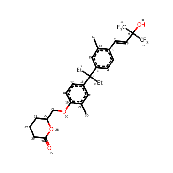 CCC(CC)(c1ccc(/C=C/C(O)(C(F)(F)F)C(F)(F)F)c(C)c1)c1ccc(OCC2CCCC(=O)O2)c(C)c1